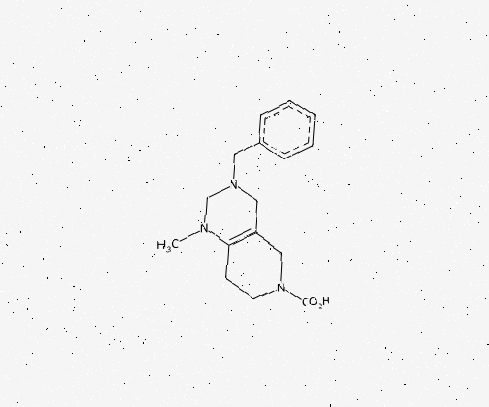 CN1CN(Cc2ccccc2)CC2=C1CCN(C(=O)O)C2